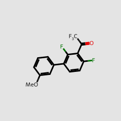 COc1cccc(-c2ccc(F)c(C(=O)C(F)(F)F)c2F)c1